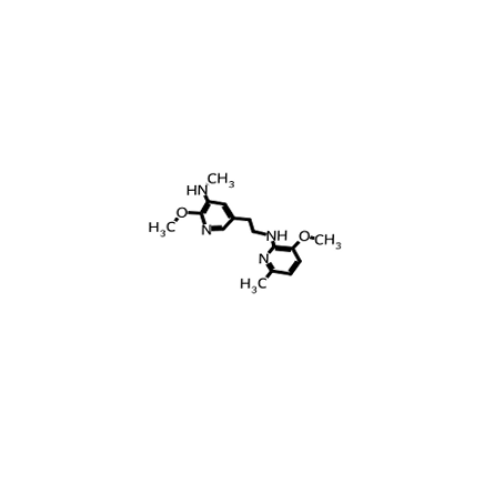 CNc1cc(CCNc2nc(C)ccc2OC)cnc1OC